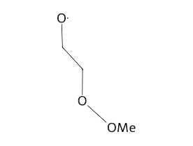 COOCC[O]